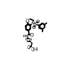 Cc1cc(C)cc(S(=O)(=O)N2CCOc3ccc(C(=O)Nc4nc(CC(=O)O)cs4)cc32)c1